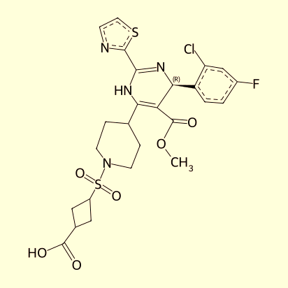 COC(=O)C1=C(C2CCN(S(=O)(=O)C3CC(C(=O)O)C3)CC2)NC(c2nccs2)=N[C@H]1c1ccc(F)cc1Cl